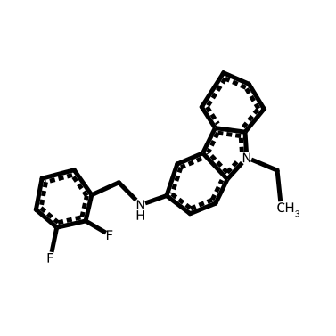 CCn1c2ccccc2c2cc(NCc3cccc(F)c3F)ccc21